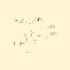 CCCO[Si](CC(C)N)(OCCC)OC(C)(N)CC